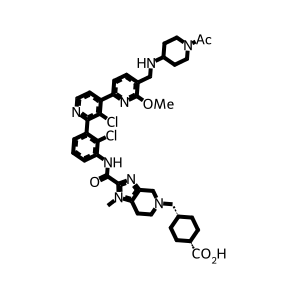 COc1nc(-c2ccnc(-c3cccc(NC(=O)c4nc5c(n4C)CCN(C[C@H]4CC[C@@H](C(=O)O)CC4)C5)c3Cl)c2Cl)ccc1CNC1CCN(C(C)=O)CC1